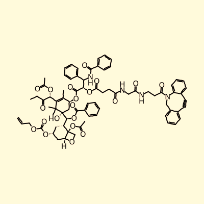 C=CCOC(=O)O[C@@H]1C[C@H]([C@H](OC(=O)c2ccccc2)[C@]2(O)C[C@H](OC(=O)[C@H](OC(=O)CCC(=O)NCC(=O)NCCC(=O)N3Cc4ccccc4C#Cc4ccccc43)C(NC(=O)c3ccccc3)c3ccccc3)C(C)=C([C@@H](OC(C)=O)C(=O)CC)C2(C)C)[C@]2(OC(C)=O)CO[C@@H]2C1